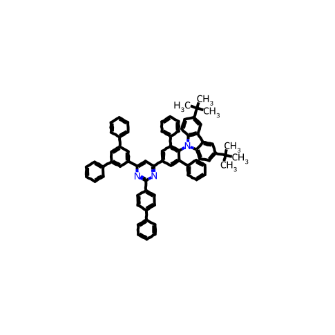 CC(C)(C)c1ccc2c(c1)c1cc(C(C)(C)C)ccc1n2-c1c(-c2ccccc2)cc(-c2cc(-c3cc(-c4ccccc4)cc(-c4ccccc4)c3)nc(-c3ccc(-c4ccccc4)cc3)n2)cc1-c1ccccc1